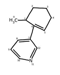 CC1CCCC=C1c1cccnc1